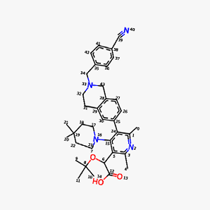 Cc1nc(C)c(C(OC(C)(C)C)C(=O)O)c(N2CCC(C)(C)CC2)c1-c1ccc2c(c1)CCN(Cc1ccc(C#N)cc1)C2